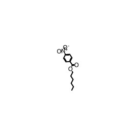 CCCCCCOC(=O)c1ccc([N+](=O)[O-])cc1